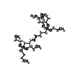 CCCO[Si](CCCSSCCC[Si](OCCC)(OCCC)OCCC(C)C)(OCCC)OCCC